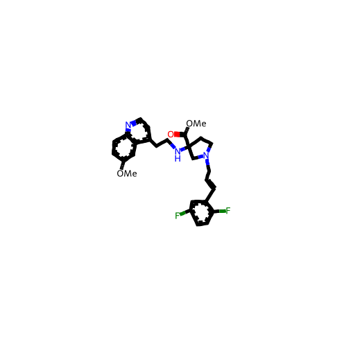 COC(=O)C1(NCCc2ccnc3ccc(OC)cc23)CCN(CC=Cc2cc(F)ccc2F)C1